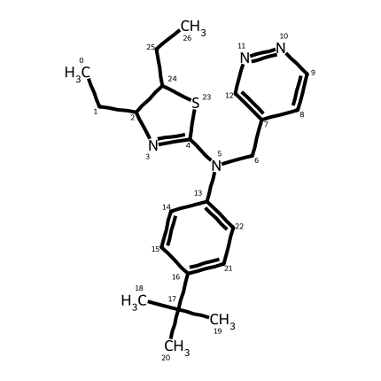 CCC1N=C(N(Cc2ccnnc2)c2ccc(C(C)(C)C)cc2)SC1CC